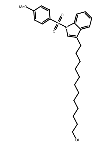 COc1ccc(S(=O)(=O)n2cc(CCCCCCCCCCCCO)c3ccccc32)cc1